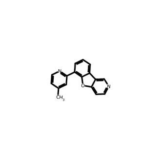 Cc1ccnc(-c2cccc3c2oc2ccncc23)c1